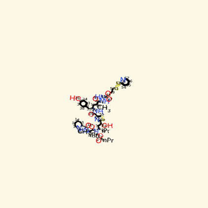 CCCC(=O)OCN(C(=O)[C@@H](NC(=O)[C@H]1CCCCN1C)C(C)CC)[C@H](C[C@@H](O)c1nc(C(=O)N[C@@H](Cc2ccc(O)cc2)C[C@H](C)C(=O)NNC(=O)OCCSSc2ccccn2)cs1)C(C)C